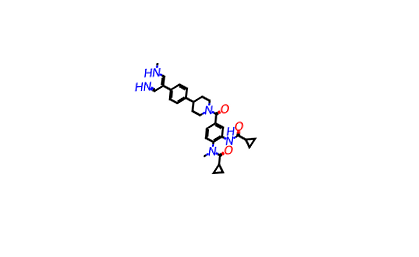 CN/C=C(\C=N)c1ccc(C2CCN(C(=O)c3ccc(N(C)C(=O)C4CC4)c(NC(=O)C4CC4)c3)CC2)cc1